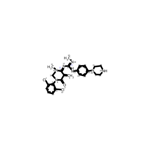 C=C1C(=O)N(c2c(Cl)cccc2Cl)CN(C)/C1=N/C(=N\C)Nc1ccc(N2CCNCC2)cc1